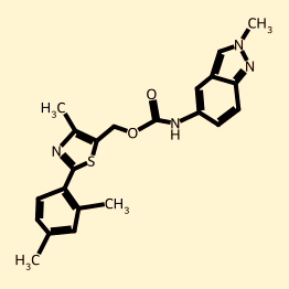 Cc1ccc(-c2nc(C)c(COC(=O)Nc3ccc4nn(C)cc4c3)s2)c(C)c1